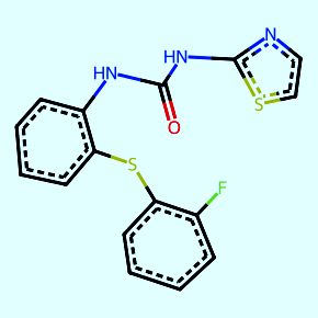 O=C(Nc1nccs1)Nc1ccccc1Sc1ccccc1F